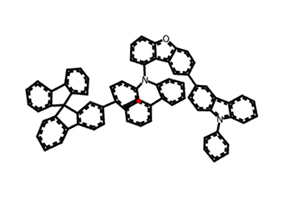 c1ccc(-c2ccccc2N(c2ccc(-c3ccc4c(c3)C3(c5ccccc5-c5ccccc53)c3ccccc3-4)cc2)c2cccc3oc4ccc(-c5ccc6c(c5)c5ccccc5n6-c5ccccc5)cc4c23)cc1